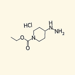 CCOC(=O)N1CCC(NN)CC1.Cl